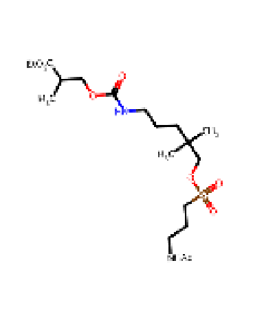 CCOC(=O)C(C)COC(=O)NCCCC(C)(C)COS(=O)(=O)CCCNC(C)=O